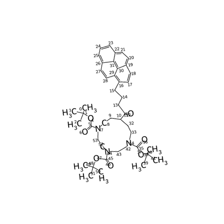 CC(C)(C)OC(=O)N1CCC(C(=O)CCCc2ccc3ccc4cccc5ccc2c3c45)CCN(C(=O)OC(C)(C)C)CCN(C(=O)OC(C)(C)C)CC1